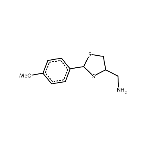 COc1ccc(C2SCC(CN)S2)cc1